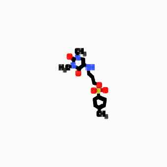 Cc1ccc(S(=O)(=O)OCCCNc2cn(C)c(=O)n(C)c2=O)cc1